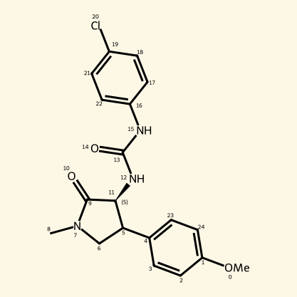 COc1ccc(C2CN(C)C(=O)[C@H]2NC(=O)Nc2ccc(Cl)cc2)cc1